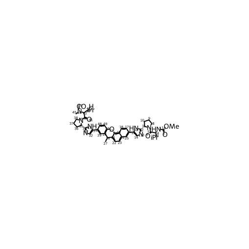 COC(=O)NC(C(=O)N1CCC[C@H]1c1ncc(-c2ccc3c4c(ccc3c2)C(C)c2cc(-c3cnc([C@@H]5CCCN5C(=O)C(C(C)C)N(C)C(=O)O)[nH]3)ccc2O4)[nH]1)C(C)C